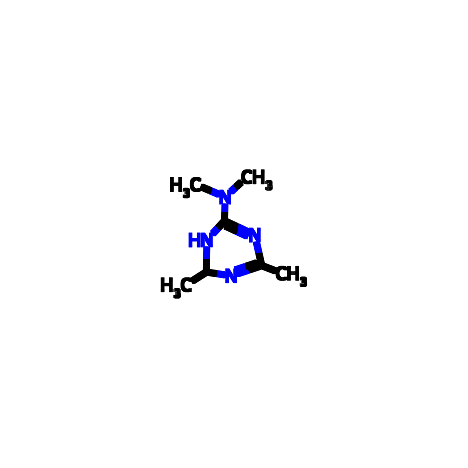 CC1=NC(C)NC(N(C)C)=N1